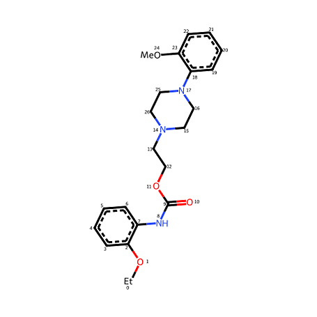 CCOc1ccccc1NC(=O)OCCN1CCN(c2ccccc2OC)CC1